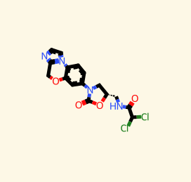 O=C(NC[C@H]1CN(c2ccc3c(c2)OCc2nccn2-3)C(=O)O1)C(Cl)Cl